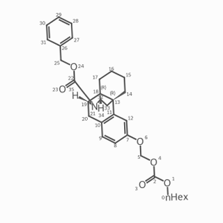 CCCCCCOC(=O)OCOc1ccc2c(c1)[C@@]13CCCC[C@H]1[C@@H](C2)N(C(=O)OCc1ccccc1)CC3